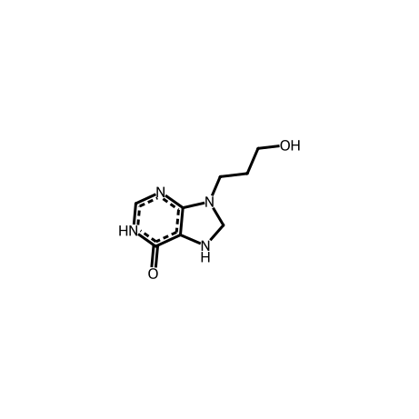 O=c1[nH]cnc2c1NCN2CCCO